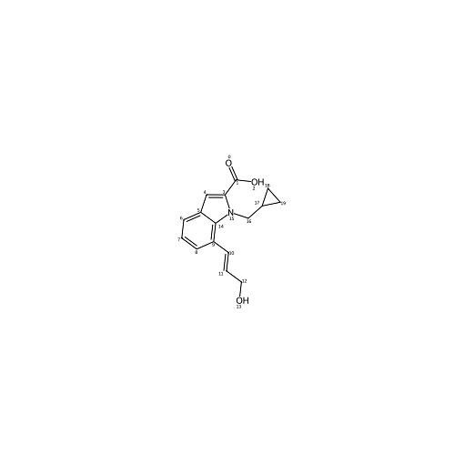 O=C(O)c1cc2cccc(C=CCO)c2n1CC1CC1